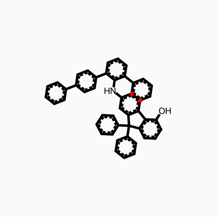 Oc1cccc2c1-c1ccc(Nc3c(-c4ccccc4)cccc3-c3ccc(-c4ccccc4)cc3)cc1C2(c1ccccc1)c1ccccc1